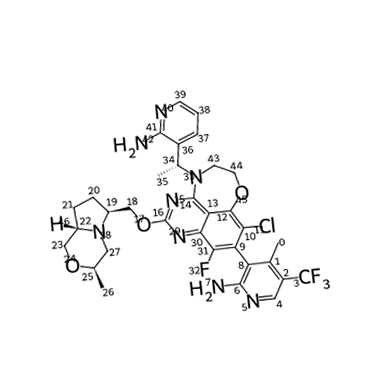 Cc1c(C(F)(F)F)cnc(N)c1-c1c(Cl)c2c3c(nc(OC[C@@H]4CC[C@H]5CO[C@H](C)CN45)nc3c1F)N([C@H](C)c1cccnc1N)CCO2